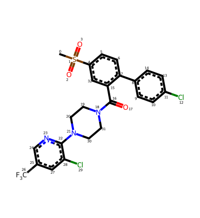 CS(=O)(=O)c1ccc(-c2ccc(Cl)cc2)c(C(=O)N2CCN(c3ncc(C(F)(F)F)cc3Cl)CC2)c1